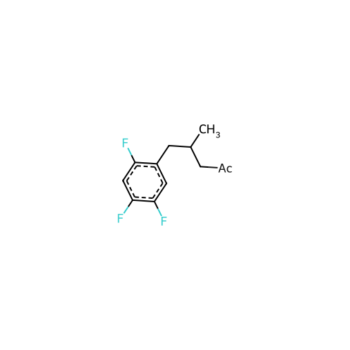 CC(=O)CC(C)Cc1cc(F)c(F)cc1F